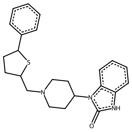 O=c1[nH]c2ccccc2n1C1CCN(CC2CCC(c3ccccc3)S2)CC1